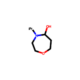 CC(C)N1CCOCCC1O